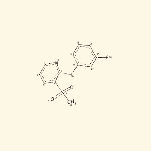 CS(=O)(=O)c1cccnc1Cc1cccc(F)c1